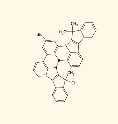 CC(C)(C)c1cc2c3c(c1)-n1c4c(c5cccc(c51)B3n1c3c(c5cccc-2c51)-c1ccccc1C3(C)C)-c1ccccc1C4(C)C